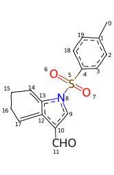 Cc1ccc(S(=O)(=O)n2cc(C=O)c3c2=CCCC=3)cc1